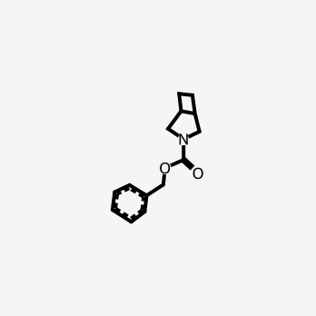 O=C(OCc1ccccc1)N1CC2CCC2C1